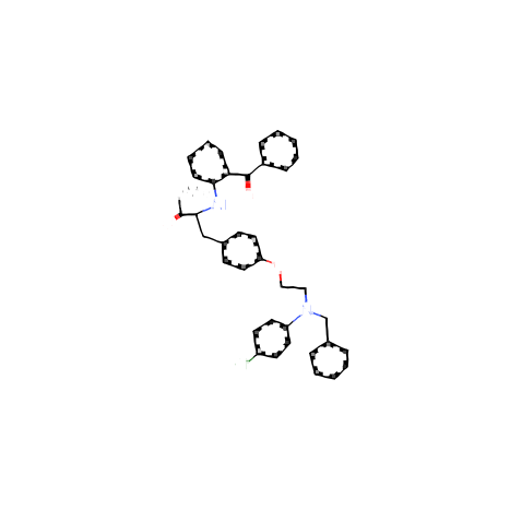 COC(=O)C(Cc1ccc(OCCN(Cc2ccccc2)c2ccc(Cl)cc2)cc1)Nc1ccccc1C(=O)c1ccccc1